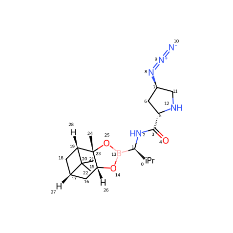 CC(C)[C@H](NC(=O)[C@@H]1C[C@@H](N=[N+]=[N-])CN1)B1O[C@@H]2C[C@@H]3C[C@@H](C3(C)C)[C@]2(C)O1